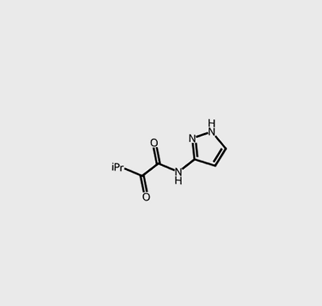 CC(C)C(=O)C(=O)Nc1cc[nH]n1